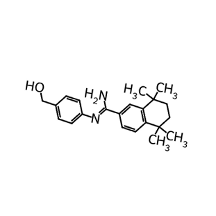 CC1(C)CCC(C)(C)c2cc(C(N)=Nc3ccc(CO)cc3)ccc21